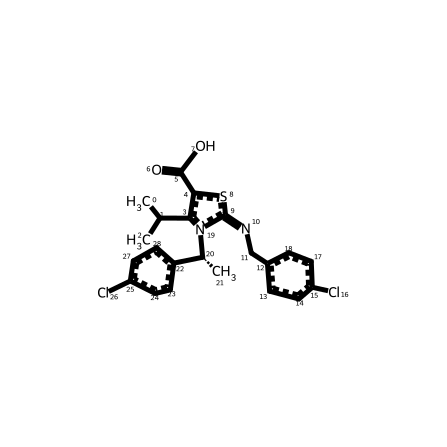 CC(C)c1c(C(=O)O)s/c(=N/Cc2ccc(Cl)cc2)n1[C@H](C)c1ccc(Cl)cc1